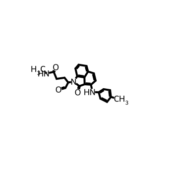 CNC(=O)CCC(C=O)N1C(=O)c2c(Nc3ccc(C)cc3)ccc3cccc1c23